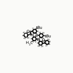 Cc1cc2c3c(c1)-n1c4c(c5cc(C(C)(C)C)cc(c51)B3c1ccc(C(C)(C)C)cc1N2c1cccc2c1oc1ccccc12)OC1CC=CC=C41